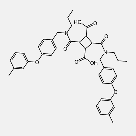 CCCN(Cc1ccc(Oc2cccc(C)c2)cc1)C(=O)C1C(C(=O)O)C(C(=O)N(CCC)Cc2ccc(Oc3cccc(C)c3)cc2)C1C(=O)O